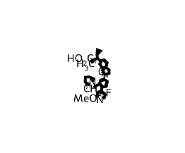 COc1cc(-c2ccc([C@@H]3CCc4ccc(C(C5CC5)[C@H](C)C(=O)O)cc4O3)cc2CN2CCCC[C@H]2C)c(F)cn1